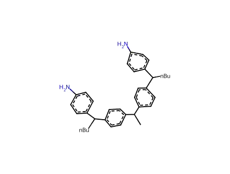 CCCCC(c1ccc(N)cc1)c1ccc(C(C)c2ccc(C(CCCC)c3ccc(N)cc3)cc2)cc1